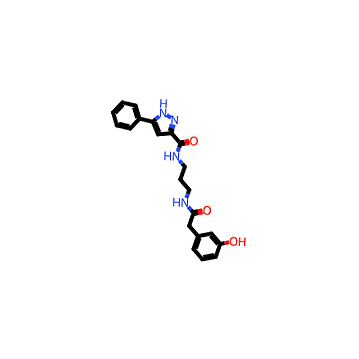 O=C(Cc1cccc(O)c1)NCCCNC(=O)c1cc(-c2ccccc2)[nH]n1